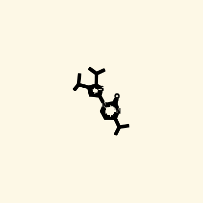 CC(C)c1ccn(-c2cc(C(C)C)c(C(C)C)s2)c(=O)n1